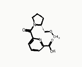 COC[C@H]1CCCN1C(=O)c1cccc(C(=O)O)n1